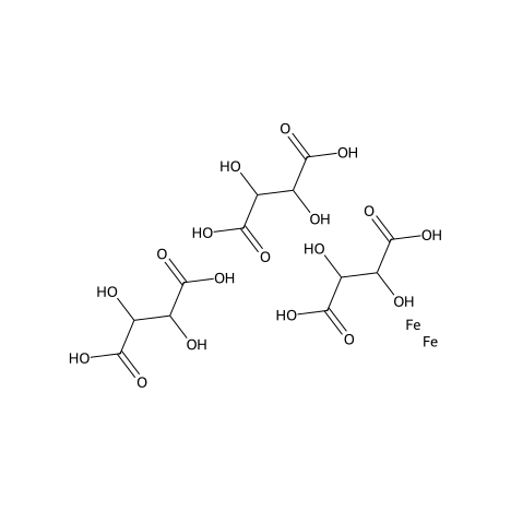 O=C(O)C(O)C(O)C(=O)O.O=C(O)C(O)C(O)C(=O)O.O=C(O)C(O)C(O)C(=O)O.[Fe].[Fe]